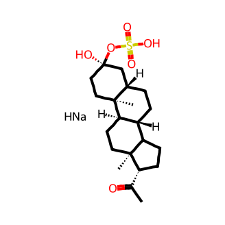 CC(=O)[C@H]1CCC2[C@H]3CC[C@H]4C[C@](O)(OS(=O)(=O)O)CC[C@]4(C)[C@@H]3CC[C@@]21C.[NaH]